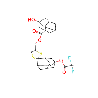 CC(F)(F)C(=O)OC12CC3CC(C1)C1(SCC(COC(=O)C45CC6CC(CC(O)(C6)C4)C5)S1)C(C3)C2